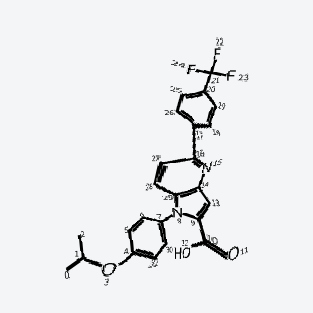 CC(C)Oc1ccc(-n2c(C(=O)O)cc3nc(-c4ccc(C(F)(F)F)cc4)ccc32)cc1